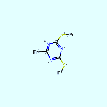 CC(C)Sc1nc(SC(C)C)nc(C(C)C)n1